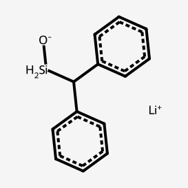 [Li+].[O-][SiH2]C(c1ccccc1)c1ccccc1